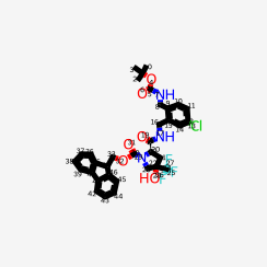 CC(C)(C)OC(=O)NCc1ccc(Cl)cc1CNC(=O)[C@@H]1CC(O)(C(F)(F)F)CN1C(=O)OCC1c2ccccc2-c2ccccc21